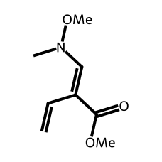 C=C/C(=C\N(C)OC)C(=O)OC